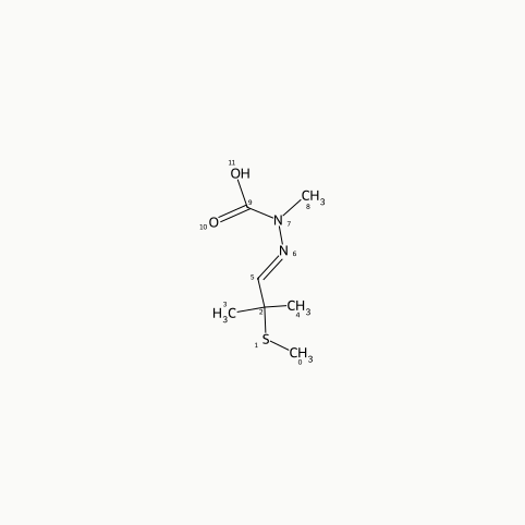 CSC(C)(C)C=NN(C)C(=O)O